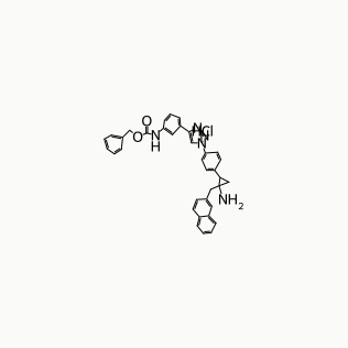 Cl.NC1(Cc2ccc3ccccc3c2)CC1c1ccc(-n2cc(-c3cccc(NC(=O)OCc4ccccc4)c3)nn2)cc1